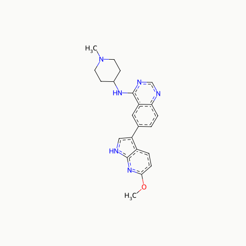 COc1ccc2c(-c3ccc4ncnc(NC5CCN(C)CC5)c4c3)c[nH]c2n1